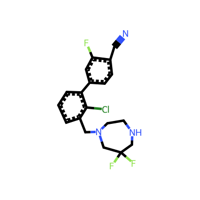 N#Cc1ccc(-c2cccc(CN3CCNCC(F)(F)C3)c2Cl)cc1F